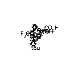 CC(C)(C)c1ccc(N(Cc2ccc(C(=O)NC[C@@H](O)C(=O)O)cc2)C(=O)Nc2cc(-c3ccccc3)cc(C(F)(F)F)c2)cc1